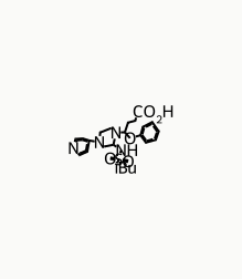 CCC(C)S(=O)(=O)NC1CN(c2ccncc2)CCN1C(CCC(=O)O)Oc1ccccc1